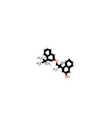 CC(C)(C)c1cc(OCC(C)(C)c2cc(O)cc3ccccc23)cc2ccccc12